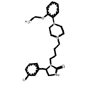 CCOc1ccccc1N1CCN(CCCCN2C(=O)NCC2c2cccc(Cl)c2)CC1